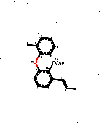 CC=Cc1cccc(Oc2ccccc2C)c1OC